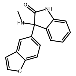 CNC1(c2ccc3occc3c2)C(=O)Nc2ccccc21